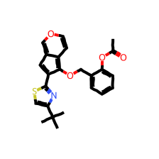 CC(=O)Oc1ccccc1COc1c2ccocc-2cc1-c1nc(C(C)(C)C)cs1